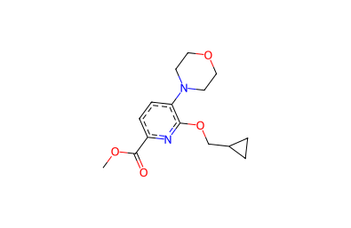 COC(=O)c1ccc(N2CCOCC2)c(OCC2CC2)n1